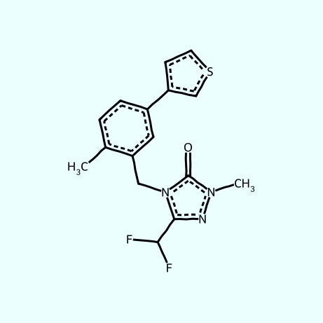 Cc1ccc(-c2ccsc2)cc1Cn1c(C(F)F)nn(C)c1=O